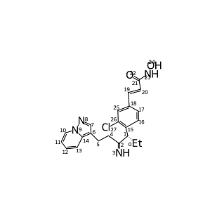 CC[C@H](C(=N)CCc1cnn2ccccc12)c1ccc(/C=C/C(=O)NO)cc1Cl